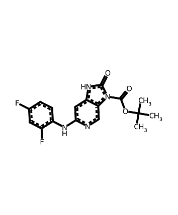 CC(C)(C)OC(=O)n1c(=O)[nH]c2cc(Nc3ccc(F)cc3F)ncc21